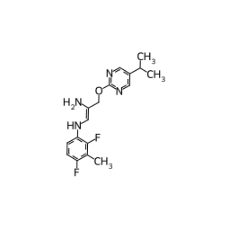 Cc1c(F)ccc(N/C=C(\N)COc2ncc(C(C)C)cn2)c1F